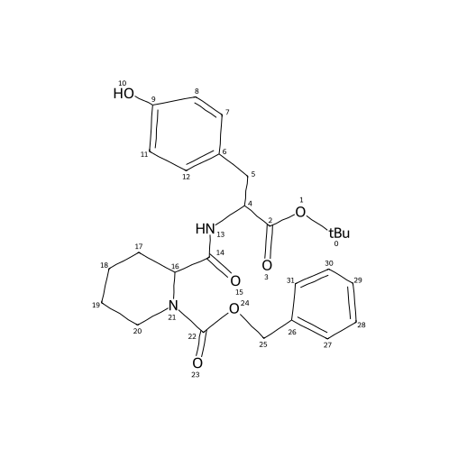 CC(C)(C)OC(=O)C(Cc1ccc(O)cc1)NC(=O)C1CCCCN1C(=O)OCc1ccccc1